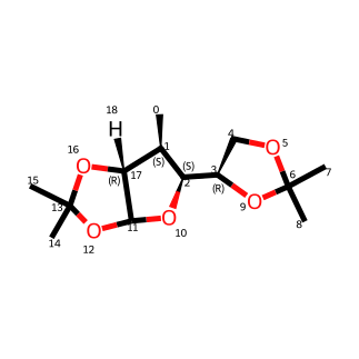 C[C@H]1[C@@H]([C@H]2COC(C)(C)O2)OC2OC(C)(C)O[C@@H]21